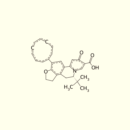 CC(C)(C)[C@@H]1Cc2c(cc(-c3ccccccccc3)c3c2CCO3)-c2cc(=O)c(C(=O)O)cn21